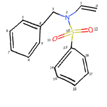 C=CN(Cc1ccccc1)S(=O)(=O)c1ccccc1